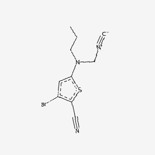 [C-]#[N+]CN(CCC)c1cc(Br)c(C#N)s1